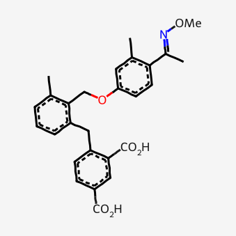 CON=C(C)c1ccc(OCc2c(C)cccc2Cc2ccc(C(=O)O)cc2C(=O)O)cc1C